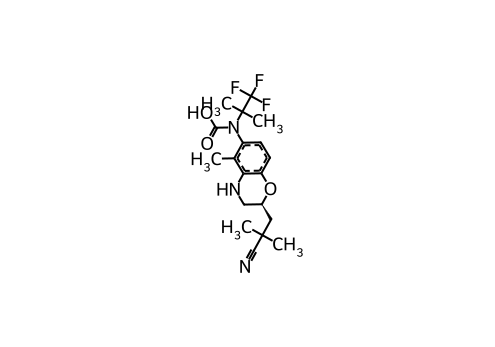 Cc1c(N(C(=O)O)C(C)(C)C(F)(F)F)ccc2c1NC[C@H](CC(C)(C)C#N)O2